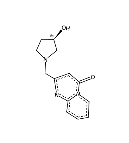 O=c1cc(CN2CC[C@@H](O)C2)nc2ccccn12